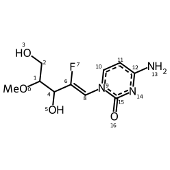 COC(CO)C(O)C(F)=Cn1ccc(N)nc1=O